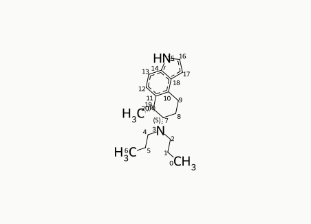 CCCN(CCC)[C@H]1CCc2c(ccc3[nH]ccc23)[C@H]1C